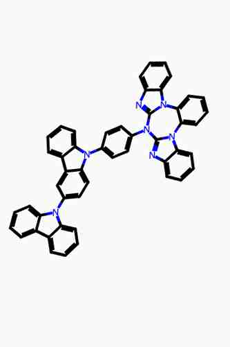 c1ccc2c(c1)nc1n(-c3ccc(-n4c5ccccc5c5cc(-n6c7ccccc7c7ccccc76)ccc54)cc3)c3nc4ccccc4n3c3ccccc3n21